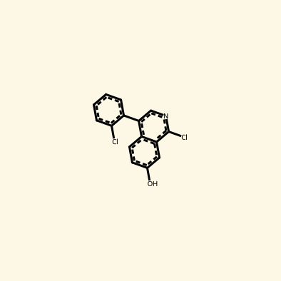 Oc1ccc2c(-c3ccccc3Cl)cnc(Cl)c2c1